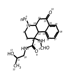 CCCN1C[CH]C(NC=O)(C(=O)NCC(C)O)C2c3ccccc3C(=O)CC21